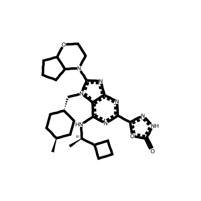 C[C@@H](Nc1nc(-c2n[nH]c(=O)o2)nc2nc(N3CCOC4CCCC43)n(C[C@H]3CC[C@H](C)CC3)c12)C1CCC1